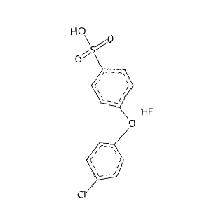 F.O=S(=O)(O)c1ccc(Oc2ccc(Cl)cc2)cc1